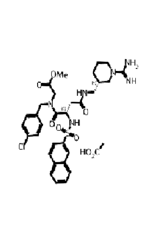 CC(=O)O.COC(=O)CN(Cc1ccc(Cl)cc1)C(=O)[C@H](CC(=O)NC[C@@H]1CCCN(C(=N)N)C1)NS(=O)(=O)c1ccc2ccccc2c1